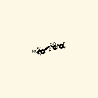 CN(C)c1c(C#N)cnc2ccc(C#CCNC(=O)c3cccn(Cc4ccc(F)c(F)c4)c3=O)cc12